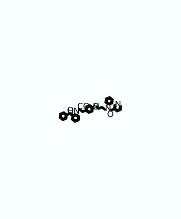 O=C(c1ccccc1)c1ccccc1NC(Cc1ccc(OCCCN(C(=O)c2cccnc2)c2ccccc2)cc1)C(=O)O